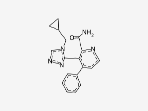 NC(=O)c1nccc(-c2ccccc2)c1-c1nncn1CC1CC1